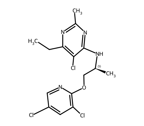 CCc1nc(C)nc(N[C@@H](C)COc2ncc(Cl)cc2Cl)c1Cl